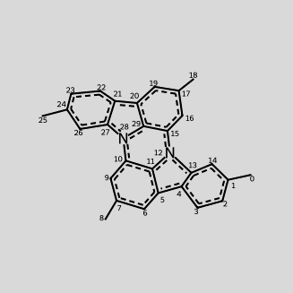 Cc1ccc2c3cc(C)cc4c3n(c2c1)c1cc(C)cc2c3ccc(C)cc3n4c21